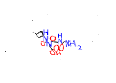 Cc1ccc(NC(=O)N(CC(=O)O)C(=O)CNC(=O)CN)cc1